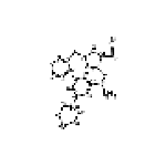 CC(CN1CC(Cc2ccccc2)OC1C=O)c1cccc(N2CCOCC2)c1